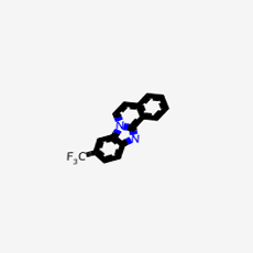 FC(F)(F)c1ccc2nc3c4ccccc4ccn3c2c1